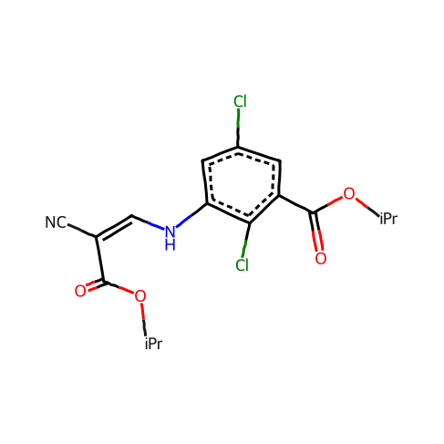 CC(C)OC(=O)C(C#N)=CNc1cc(Cl)cc(C(=O)OC(C)C)c1Cl